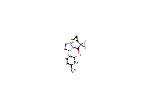 N#Cc1ccc([C@@H]2CCON2C(=O)C2(C3CC3)CC2)cc1